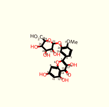 COc1ccc(-c2oc3cc(O)cc(O)c3c(=O)c2O)cc1OC1OC(C(=O)O)C(O)C(O)C1O